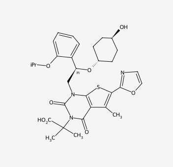 Cc1c(-c2ncco2)sc2c1c(=O)n(C(C)(C)C(=O)O)c(=O)n2C[C@H](O[C@H]1CC[C@H](O)CC1)c1ccccc1OC(C)C